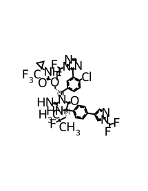 CC(C)(F)C[C@]1(c2ccc(-c3cnn(C(F)F)c3)cc2)NC(=N)N([C@H](COC(=O)NC2(C(F)(F)F)CC2)c2ccc(Cl)c(-c3ncnn3C(F)F)c2)C1=O